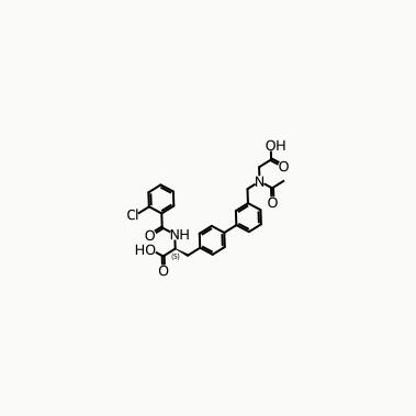 CC(=O)N(CC(=O)O)Cc1cccc(-c2ccc(C[C@H](NC(=O)c3ccccc3Cl)C(=O)O)cc2)c1